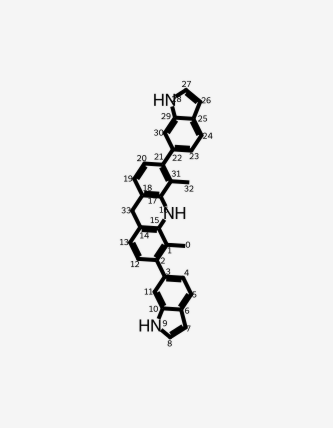 Cc1c(-c2ccc3cc[nH]c3c2)ccc2c1Nc1c(ccc(-c3ccc4cc[nH]c4c3)c1C)C2